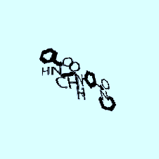 CC(NC(=O)c1ccccc1)C(=O)N[C@H]1CC[C@@H](C(=O)N2CCCCC2)C1